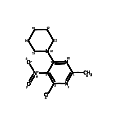 Cc1nc(Cl)c([N+](=O)[O-])c(N2CCCCC2)n1